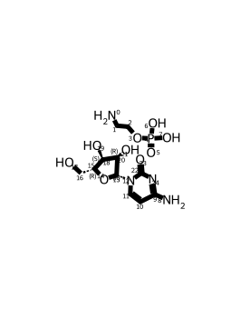 NCCOP(=O)(O)O.Nc1ccn([C@@H]2O[C@H](CO)[C@@H](O)[C@H]2O)c(=O)n1